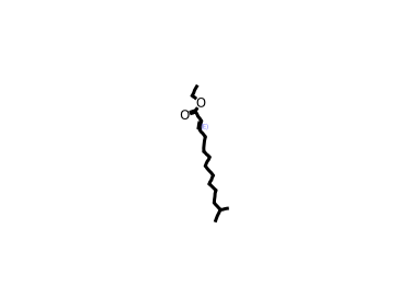 CCOC(=O)/C=C/CCCCCCCCC(C)C